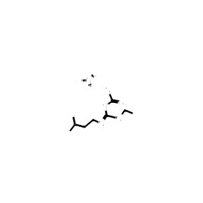 CCN/C(=N/CCC(C)C)NC(=N)N.O=[N+]([O-])O